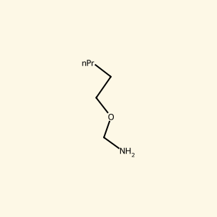 CCCCCOCN